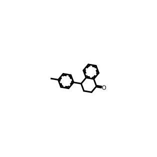 Cc1ccc(C2CCC(=O)c3ccccc32)cc1